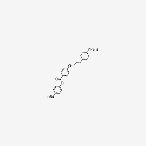 CCCCCC1CCC(CCCOc2ccc(C(=O)Oc3ccc(CCCC)cc3)cc2)CC1